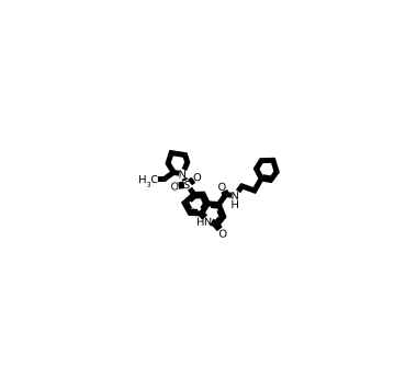 CCC1CCCCN1S(=O)(=O)c1ccc2[nH]c(=O)cc(C(=O)NCCC3=CCCCC3)c2c1